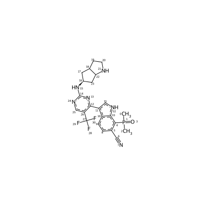 CP(C)(=O)c1c(C#N)ccc2c(-c3nc(N[C@H]4CC5CCNC5C4)ncc3C(F)(F)F)c[nH]c12